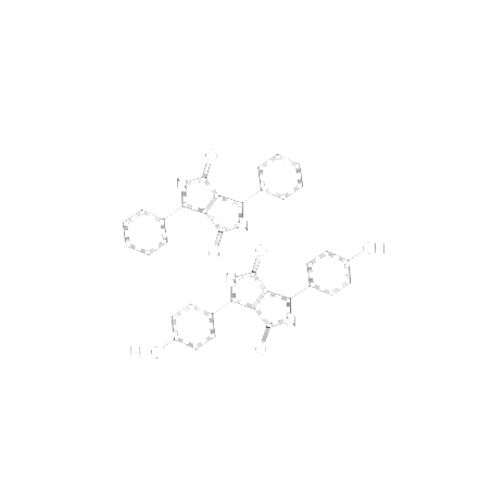 Cc1ccc(-c2nc(=O)c3c(-c4ccc(C)cc4)nc(=O)c2=3)cc1.O=c1nc(-c2ccccc2)c2c(=O)nc(-c3ccccc3)c1=2